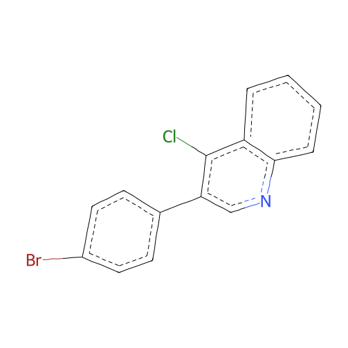 Clc1c(-c2ccc(Br)cc2)cnc2ccccc12